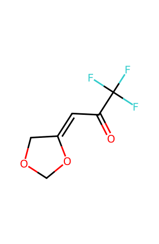 O=C(C=C1COCO1)C(F)(F)F